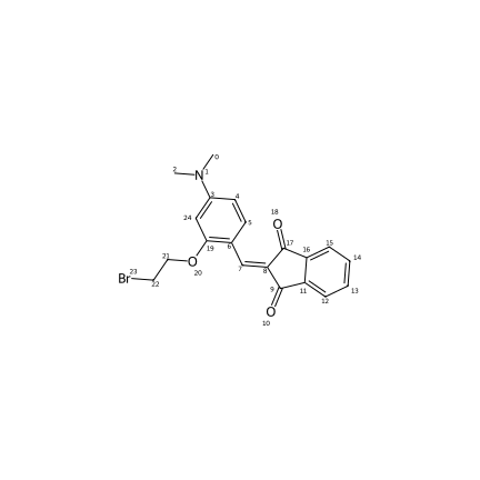 CN(C)c1ccc(C=C2C(=O)c3ccccc3C2=O)c(OCCBr)c1